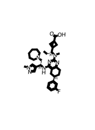 CC[C@@H](N(C)c1nc2c(c(N[C@@H](CN3CCCCCC3)c3cnn(C)c3)n1)C[C@H](c1cccc(F)c1)CC2)C12CC(C(=O)O)(C1)C2